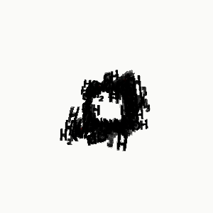 CCCCC[C@@H]1NC(=O)[C@H](CCCCNC(=N)N)NC(=O)[C@H](C)NC(=O)CSC[C@@H](C(N)=O)NC(O)[C@H](CC(=O)O)NC(=O)[C@H](CCCCC)NC(=O)[C@H](Cc2ccc(-c3ccccc3)cc2)NC(=O)[C@H](CCS(C)(=O)=O)NC(=O)[C@H](C(C)C)NC(=O)CNC(=O)[C@H](CC(=O)O)NC(=O)[C@H](Cc2c[nH]cn2)NC(=O)[C@H](Cc2ccc(O)cc2)NC1=O